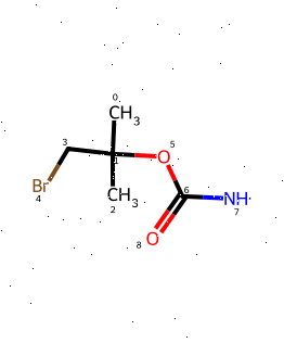 CC(C)(CBr)OC([NH])=O